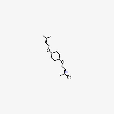 CC/C(C)=C/COC1CCC(OCC=C(C)C)CC1